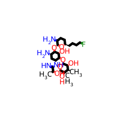 CC(O)C(=N)N[C@@H]1C[C@H](N)C(O[C@H]2O[C@H](CCCCF)CCC2N)C(O)C1O[C@H]1OCC(C)(O)[C@H](C)C1O